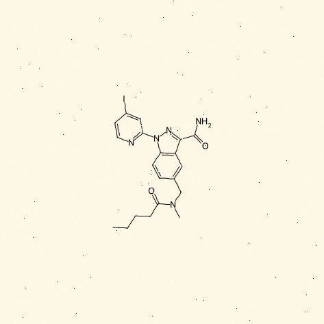 CCCCC(=O)N(C)Cc1ccc2c(c1)c(C(N)=O)nn2-c1cc(I)ccn1